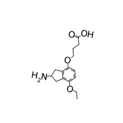 CCOc1ccc(OCCCC(=O)O)c2c1CC(N)C2